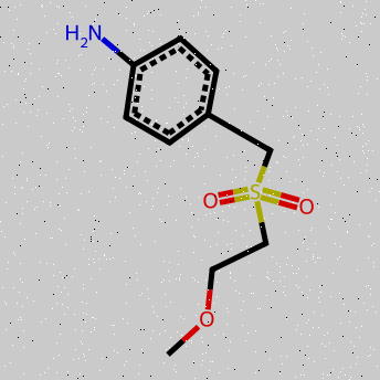 COCCS(=O)(=O)Cc1ccc(N)cc1